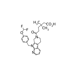 CC(C)(CCC(=O)N1CCc2c(n(Cc3ccc(OC(F)F)cc3)c3ncccc23)C1)CC(=O)O